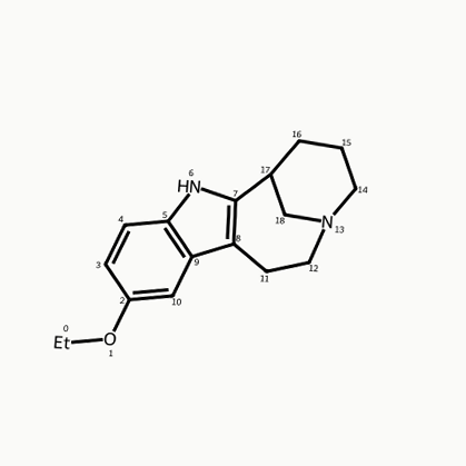 CCOc1ccc2[nH]c3c(c2c1)CCN1CCCC3C1